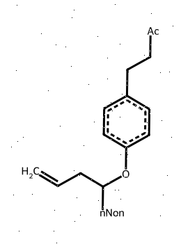 C=CCC(CCCCCCCCC)Oc1ccc(CCC(C)=O)cc1